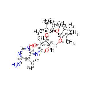 [3H]c1cn([C@@H]2O[C@@H]3CO[Si](C(C)C)(C(C)C)O[Si](C(C)C)(C(C)C)OC3[C@]2(C)O)c2ncnc(N)c12